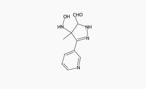 CC1(NO)C(c2cccnc2)=NNC1C=O